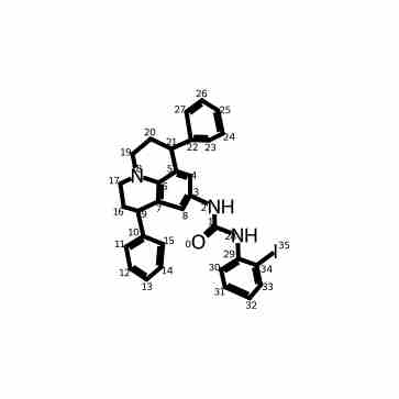 O=C(Nc1cc2c3c(c1)C(c1ccccc1)CCN3CCC2c1ccccc1)Nc1ccccc1I